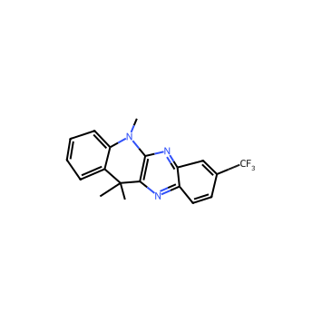 CN1c2ccccc2C(C)(C)c2nc3ccc(C(F)(F)F)cc3nc21